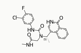 CNC(=O)CN(C(=O)Nc1ccc(F)c(Cl)c1)[C@@H](C)c1c[nH]c(=O)c2ccccc12